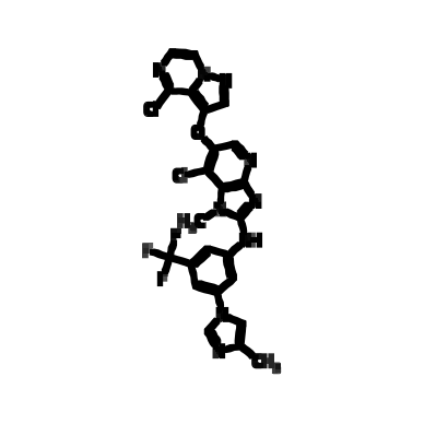 Cc1cn(-c2cc(Nc3nc4ncc(Oc5cnn6ccnc(Cl)c56)c(Cl)c4n3C)cc(C(F)(F)F)c2)cn1